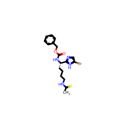 CC(=S)NCCCC[C@H](NC(=O)OCc1ccccc1)c1ncc(Br)[nH]1